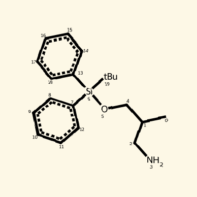 CC(CN)CO[Si](c1ccccc1)(c1ccccc1)C(C)(C)C